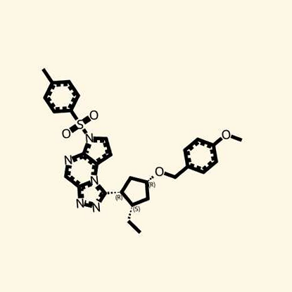 CC[C@H]1C[C@@H](OCc2ccc(OC)cc2)C[C@H]1c1nnc2cnc3c(ccn3S(=O)(=O)c3ccc(C)cc3)n12